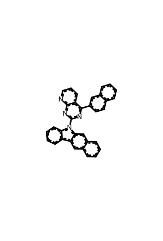 c1ccc2cc(-c3nc(-n4c5ccccc5c5cc6ccccc6cc54)nc4ncccc34)ccc2c1